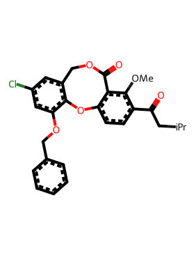 COc1c(C(=O)CC(C)C)ccc2c1C(=O)OCc1cc(Cl)cc(OCc3ccccc3)c1O2